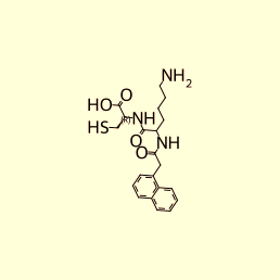 NCCCCC(NC(=O)Cc1cccc2ccccc12)C(=O)N[C@@H](CS)C(=O)O